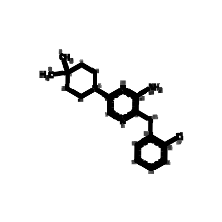 CC1(C)CCN(c2cnc(Sc3ccccc3Cl)c(N)n2)CC1